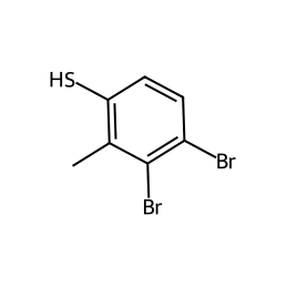 Cc1c(S)ccc(Br)c1Br